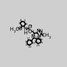 COc1ccccc1NC(=O)OCC1N=C(c2ccccc2)c2ccccc2-n2c(C)nnc21